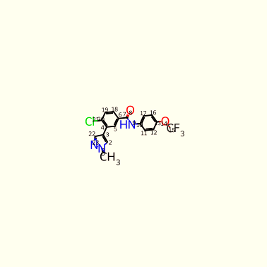 Cn1cc(-c2cc(C(=O)Nc3ccc(OC(F)(F)F)cc3)ccc2Cl)cn1